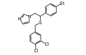 CCc1ccc(C(Cn2ccnc2)SCc2ccc(Cl)c(Cl)c2)cc1